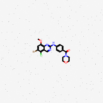 COc1cc(Br)c(Cl)c2cnc(Nc3ccc(C(=O)N4CCOCC4)cc3)nc12